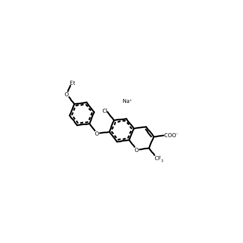 CCOc1ccc(Oc2cc3c(cc2Cl)C=C(C(=O)[O-])C(C(F)(F)F)O3)cc1.[Na+]